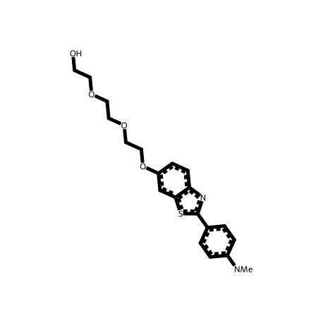 CNc1ccc(-c2nc3ccc(OCCOCCOCCO)cc3s2)cc1